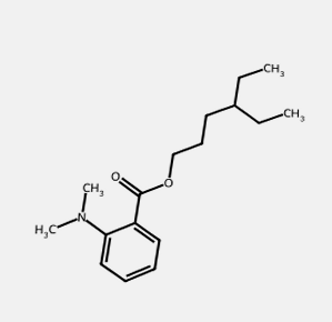 CCC(CC)CCCOC(=O)c1ccccc1N(C)C